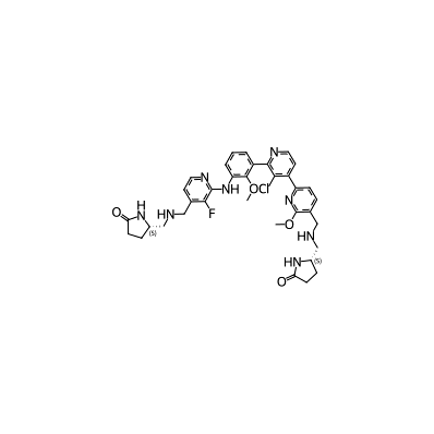 COc1nc(-c2ccnc(-c3cccc(Nc4nccc(CNC[C@@H]5CCC(=O)N5)c4F)c3OC)c2Cl)ccc1CNC[C@@H]1CCC(=O)N1